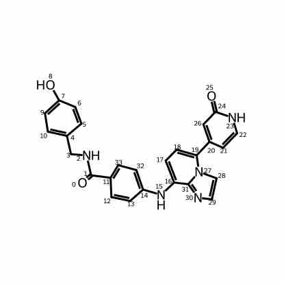 O=C(NCc1ccc(O)cc1)c1ccc(Nc2ccc(-c3cc[nH]c(=O)c3)n3ccnc23)cc1